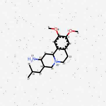 COc1cc2c(cc1OC)C1CC(N)C(CC(C)C)CN1CC2